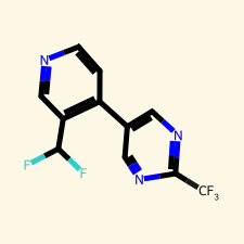 FC(F)c1cn[c]cc1-c1cnc(C(F)(F)F)nc1